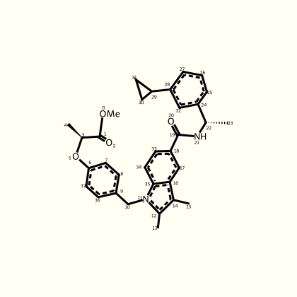 COC(=O)[C@H](C)Oc1ccc(Cn2c(C)c(C)c3cc(C(=O)N[C@@H](C)c4cccc(C5CC5)c4)ccc32)cc1